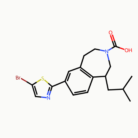 CC(C)CC1CN(C(=O)O)CCc2cc(-c3ncc(Br)s3)ccc21